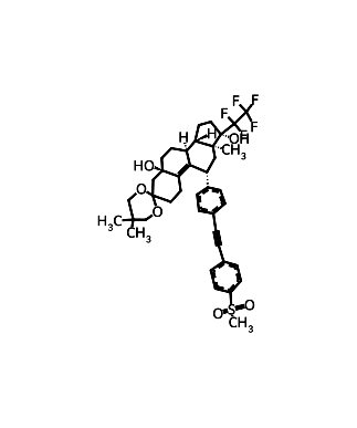 CC1(C)COC2(CCC3=C4[C@@H](CC[C@@]3(O)C2)[C@@H]2CC[C@@](O)(C(F)(F)C(F)(F)F)[C@@]2(C)C[C@@H]4c2ccc(C#Cc3ccc(S(C)(=O)=O)cc3)cc2)OC1